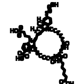 CC1(C)C2=[N+](CCCCCC(=O)NCC(C(=O)NCCCCCC(=O)O)NC(=O)CCCCCC3(C)/C(=C/C=C/2)N(CCCS(=O)(=O)O)c2ccc(S(=O)(=O)O)cc23)c2ccc(SOOO)cc21